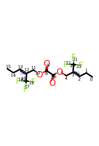 CC/C=C(/COC(=O)C(=O)OC/C(=C/CC)C(F)(F)F)C(F)(F)F